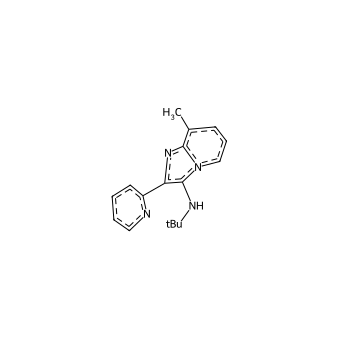 Cc1cccn2c(NC(C)(C)C)c(-c3ccccn3)nc12